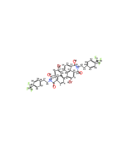 O=C1c2ccc3c4c(Br)cc5c6c(ccc(c7c(Br)cc(c2c37)C(=O)N1CCc1ccc(C(F)(F)F)cc1)c64)C(=O)N(CCc1ccc(C(F)(F)F)cc1)C5=O